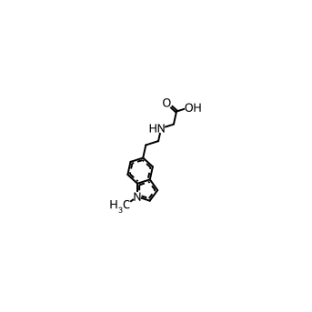 Cn1ccc2cc(CCNCC(=O)O)ccc21